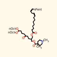 CCCCC/C=C\C/C=C\CCCCCCCC(=O)OCC(CCC(=O)CCCC(OCCCCCCCC)OCCCCCCCC)COC(=O)C1(C)CCN(C)CC1